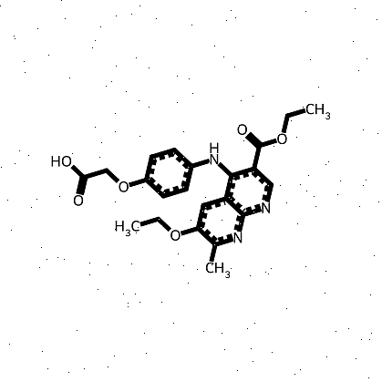 CCOC(=O)c1cnc2nc(C)c(OCC)cc2c1Nc1ccc(OCC(=O)O)cc1